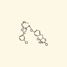 CC(C)C[C@H](COc1ccc(CC2SC(=O)NC2=O)cc1)N1C[C@@H](c2cccc(Cl)c2)OC1=S